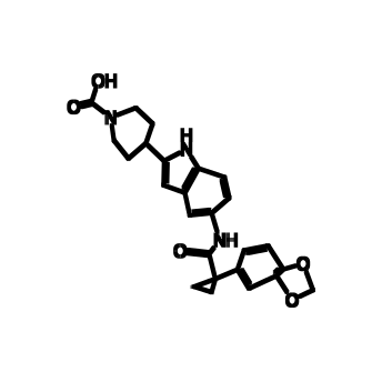 O=C(O)N1CCC(c2cc3cc(NC(=O)C4(c5ccc6c(c5)OCO6)CC4)ccc3[nH]2)CC1